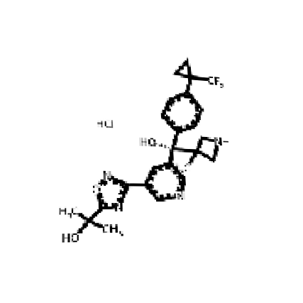 CC(C)(O)c1nc(-c2cncc([C@@](O)(c3ccc(C4(C(F)(F)F)CC4)cc3)C3(C)CNC3)c2)no1.Cl